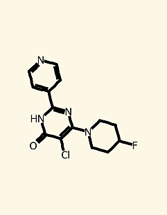 O=c1[nH]c(-c2ccncc2)nc(N2CCC(F)CC2)c1Cl